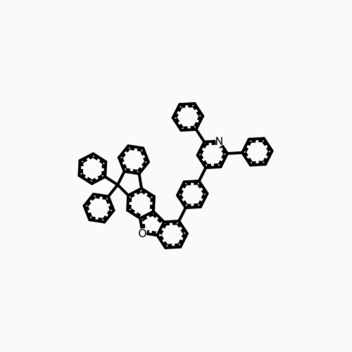 c1ccc(-c2cc(-c3ccc(-c4cccc5oc6cc7c(cc6c45)-c4ccccc4C7(c4ccccc4)c4ccccc4)cc3)cc(-c3ccccc3)n2)cc1